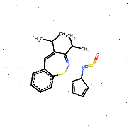 CC(C)C1=Cc2ccccc2SN=C1C(C)C.O=S=NC1C=CC=C1